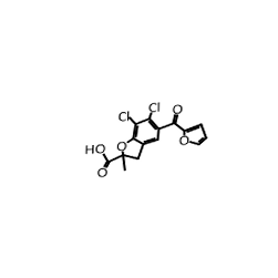 CC1(C(=O)O)Cc2cc(C(=O)c3ccco3)c(Cl)c(Cl)c2O1